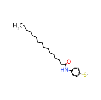 CCCCCCCCCCCCCCCC(=O)Nc1ccc([S])cc1